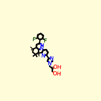 C[C@@H]1CC(C)(C)[C@@](C)(c2cccc(-c3cn(C[C@H](O)CO)cn3)n2)c2nnc(-c3c(F)cccc3F)cc21